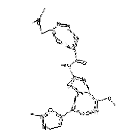 COc1ncc(-c2cnn(C)c2)c2sc(NC(=O)c3ccnc(CN(C)C)c3)nc12